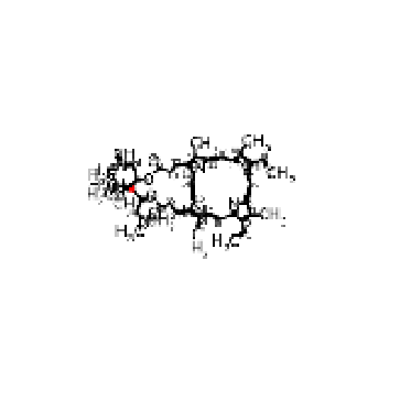 C=CC1=C(C)c2cc3[nH]c(cc4nc(cc5[nH]c(cc1n2)c(C)c5CCC(=O)OC(CN(C)C)CN(C)C)C(CCC(=O)OC(CN(C)C)CN(C)C)=C4C)c(C)c3C=C